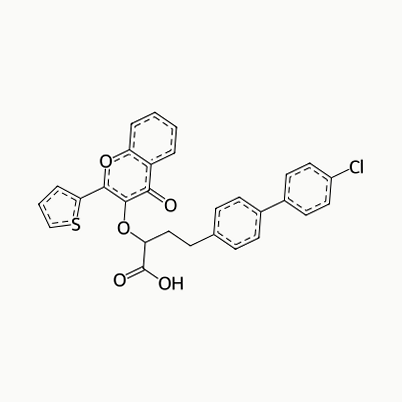 O=C(O)C(CCc1ccc(-c2ccc(Cl)cc2)cc1)Oc1c(-c2cccs2)oc2ccccc2c1=O